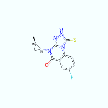 C[C@@H]1C[C@H]1n1c(=O)c2cc(F)ccc2n2c(=S)[nH]nc12